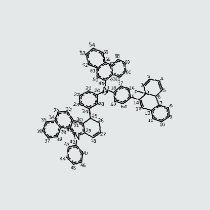 CC12C=CC=CC1c1ccccc1C=C2c1ccc(N(c2cccc(C3CC=Cc4c3c3ccc5ccccc5c3n4-c3ccccc3)c2)c2cc3ccccc3c3ccccc23)cc1